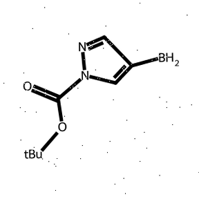 Bc1cnn(C(=O)OC(C)(C)C)c1